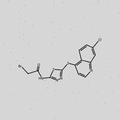 O=C(CBr)Nc1nnc(Sc2ccnc3cc(Cl)ccc23)s1